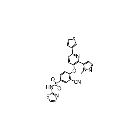 Cn1nccc1-c1nc(-c2ccsc2)ccc1Oc1ccc(S(=O)(=O)Nc2nccs2)cc1C#N